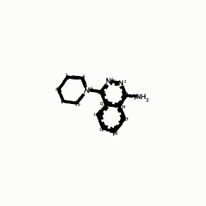 Nc1nnc(N2CCCCC2)c2ccccc12